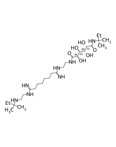 CCC(C)(C)NCCNC(=N)CCCCCCC(=N)NCCNC(=O)[C@H](O)[C@@H](O)[C@@H](O)[C@H](O)C(=O)NC(C)(C)CC